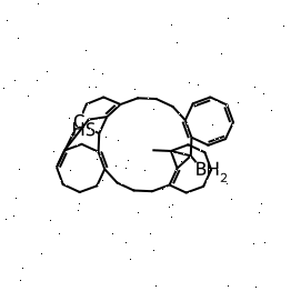 BC12/C3=C(\CCCCCC31C)CCC/C1=C3/C/C4=C(\CCC1)CCC/C(=C(\C4)C3S)CCCC1=C2/C=C\C=C/C=C\1